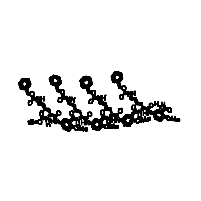 COc1ccc(NC(=O)[C@H](CCCCNC(=O)OCc2ccccc2)NC(=O)c2cc(NC(=O)[C@H](CCCCNC(=O)OCc3ccccc3)NC(=O)c3cc(NC(=O)[C@H](CCCCNC(=O)OCc4ccccc4)NC(=O)c4cc(NC(=O)[C@H](CCCCNC(=O)OCc5ccccc5)NC(=O)OC(C)(C)C)ccc4OC)ccc3OC)ccc2OC)cc1C(N)=O